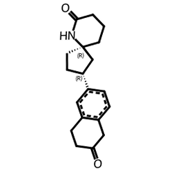 O=C1CCc2cc([C@@H]3CC[C@]4(CCCC(=O)N4)C3)ccc2C1